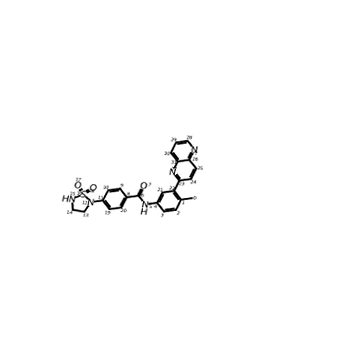 Cc1ccc(NC(=O)c2ccc(N3CCNS3(=O)=O)cc2)cc1-c1ccc2ncccc2n1